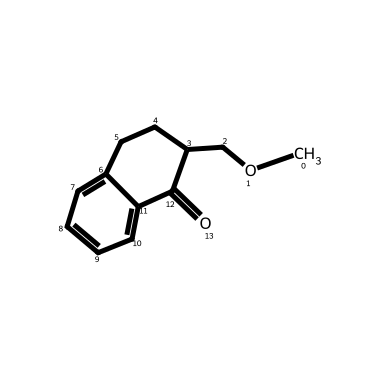 COCC1CCc2ccccc2C1=O